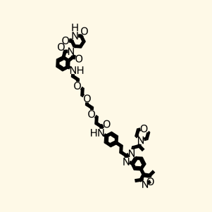 Cc1noc(C)c1-c1ccc2c(c1)nc(CCc1ccc(NC(=O)CCOCCOCCOCCNc3cccc4c3C(=O)N(C3CCC(=O)NC3=O)C4=O)cc1)n2CC(C)N1CCOCC1